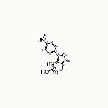 CNc1ccc(-c2onc(C)c2NC(=O)O)nc1